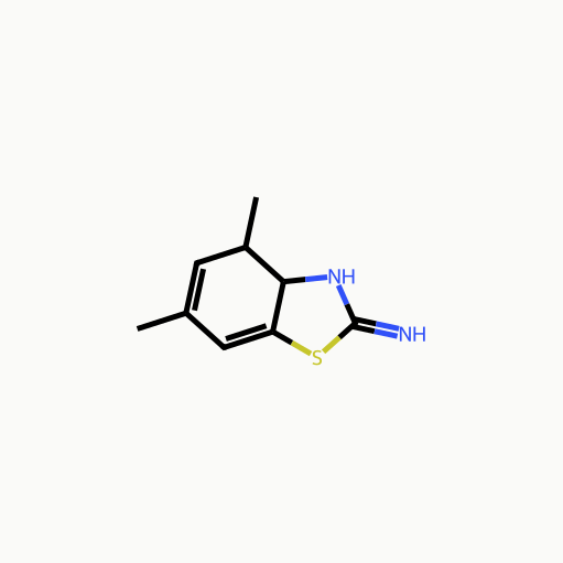 CC1=CC(C)C2NC(=N)SC2=C1